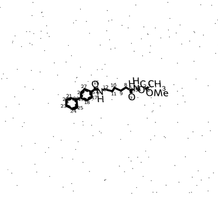 COC(C)(C)ONC(=O)CCCCCNC(=O)c1ccc(-c2ccccc2)cc1